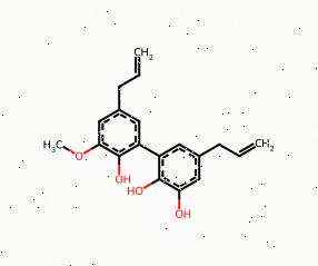 C=CCc1cc(O)c(O)c(-c2cc(CC=C)cc(OC)c2O)c1